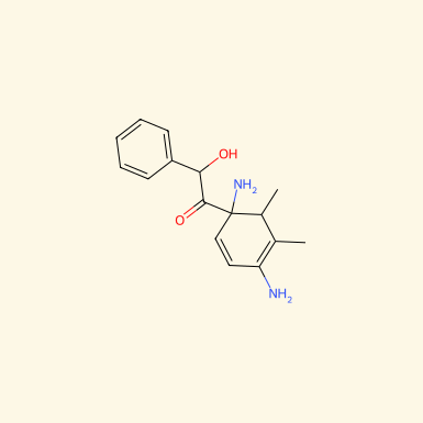 CC1=C(N)C=CC(N)(C(=O)C(O)c2ccccc2)C1C